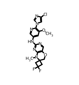 COc1cc(Nc2ncc3c(n2)N(C)C2(CO3)CC(F)(F)C2)cnc1-n1cnc(Cl)c1